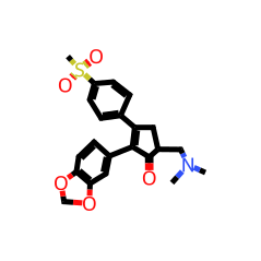 CN(C)CC1CC(c2ccc(S(C)(=O)=O)cc2)=C(c2ccc3c(c2)OCO3)C1=O